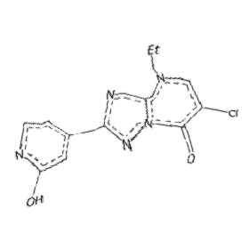 CCn1cc(Cl)c(=O)n2nc(-c3ccnc(O)c3)nc12